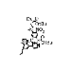 C=CCn1cc(-c2ccnc(N(C(=O)OC(C)(C)C)c3cc([N+](=O)[O-])c(N(C)CCN(CC)C(=O)OC(C)(C)C)cc3OC)n2)c2ccccc21